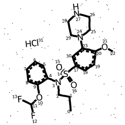 CCCN(c1ccccc1OC(F)F)S(=O)(=O)c1ccc(OC)c(N2CCNCC2)c1.Cl